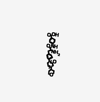 N[C@@H](Cc1ccc(N2CCN(C3CCOCC3)CC2=O)cc1)C(=O)Nc1ccc(C(=O)O)cc1